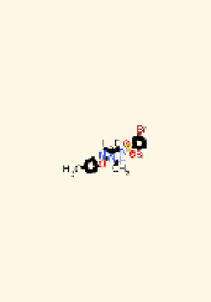 CCn1c(C(C)NS(=O)(=O)c2cc(Br)ccc2Br)cnc1Oc1ccc(C)cc1